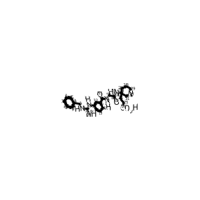 N=C(NCc1ccccc1)Nc1cccc(C(=O)NCC(=O)NC2(CCC(=O)O)C=CC=NC2)c1